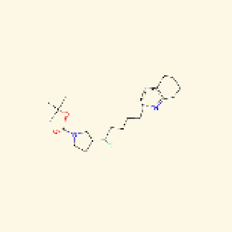 CC(C)(C)OC(=O)N1CC[C@@H](C(F)CCCCc2ccc3c(n2)CCCC3)C1